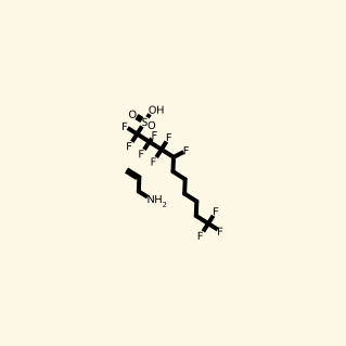 C=CCN.O=S(=O)(O)C(F)(F)C(F)(F)C(F)(F)C(F)CCCCCC(F)(F)F